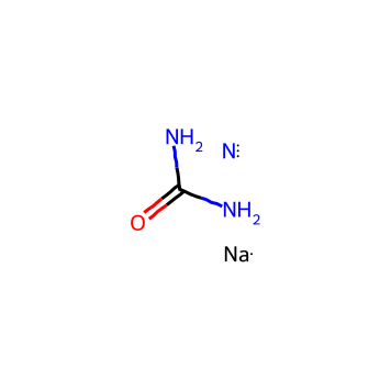 NC(N)=O.[N].[Na]